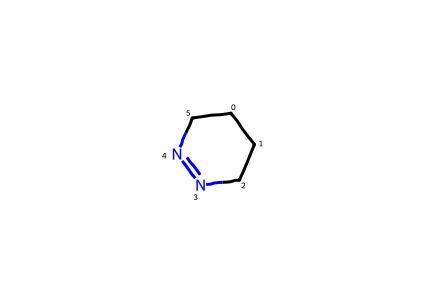 C1CCN=NC1